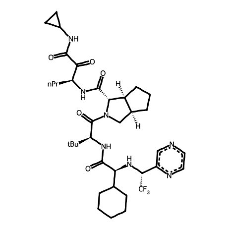 CCC[C@H](NC(=O)[C@@H]1[C@H]2CCC[C@H]2CN1C(=O)[C@@H](NC(=O)[C@@H](N[C@H](c1cnccn1)C(F)(F)F)C1CCCCC1)C(C)(C)C)C(=O)C(=O)NC1CC1